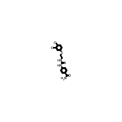 NC(=O)c1ccc(NC(=S)NCCSc2ccc(Cl)c(Cl)c2)cc1